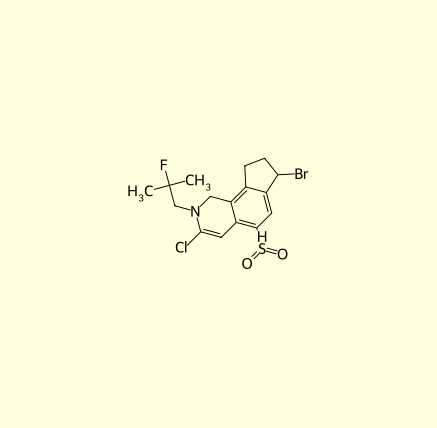 CC(C)(F)CN1Cc2c(c([SH](=O)=O)cc3c2CCC3Br)C=C1Cl